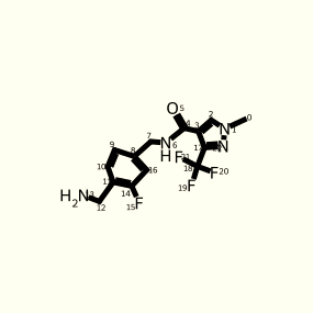 Cn1cc(C(=O)NCc2ccc(CN)c(F)c2)c(C(F)(F)F)n1